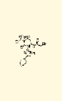 CCCCCC(Cl)N1CCC(OC(=O)CBr)N(N2NC=C(C3CCCCC3)S2)C1=O